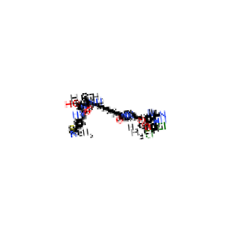 COc1cc(Nc2c(C#N)cnc3cc(OCCCN4CCN(C(=O)CCCCCCCCCCN[C@H](C(=O)N5C[C@H](O)C[C@H]5C(=O)NCc5ccc(-c6scnc6C)cc5)C(C)(C)C)CC4)c(OC)cc23)c(Cl)cc1Cl